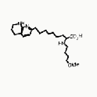 COCCCCNC(CCCCCCCc1ccc2c(n1)NCCC2)C(=O)O